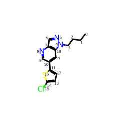 CCCCn1ncc2ncc(-c3ccc(Cl)s3)cc21